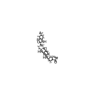 CC(=O)c1ccc(NC(=O)N2CCC(Nc3nc(Nc4ccc5c(c4)C=NC5=O)ncc3Cl)CC2)c(F)c1